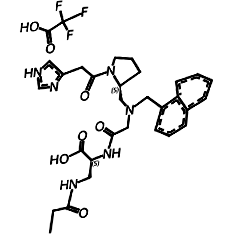 CCC(=O)NC[C@H](NC(=O)CN(Cc1cccc2ccccc12)C[C@@H]1CCCN1C(=O)Cc1c[nH]cn1)C(=O)O.O=C(O)C(F)(F)F